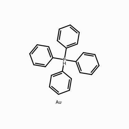 [Au].c1ccc([PH](c2ccccc2)(c2ccccc2)c2ccccc2)cc1